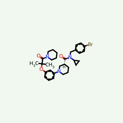 CC(C)(Oc1cccc(N2CCC[C@@H](C(=O)N(Cc3ccc(Br)cc3)C3CC3)C2)c1)C(=O)N1CCCCC1